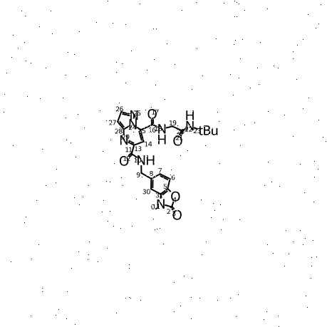 Cn1c(=O)oc2ccc(CNC(=O)c3cc(C(=O)NCC(=O)NC(C)(C)C)n4nccc4n3)cc21